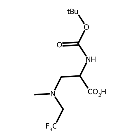 CN(CC(NC(=O)OC(C)(C)C)C(=O)O)CC(F)(F)F